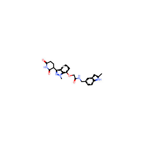 Cc1cc2cc(CNC(=O)COc3cccc4c(C5CCC(=O)NC5=O)nn(C)c34)ccc2[nH]1